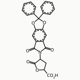 O=C(O)C1CC(N2C(=O)c3cc4c(cc3C2=O)OC(c2ccccc2)(c2ccccc2)O4)C(=O)O1